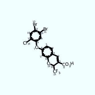 O=C(O)C1=Cc2ccc(Oc3cc(Br)c(Br)cc3Cl)cc2OC1C(F)(F)F